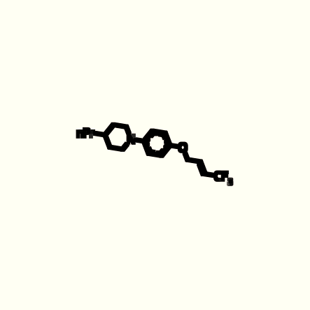 CCCC1CCN(c2ccc(OCC=CC(F)(F)F)cc2)CC1